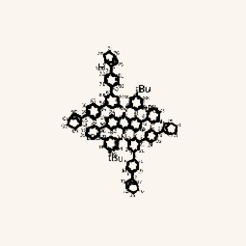 CC(C)(C)c1cc(N(c2cc(-c3ccc(C4CC5CCC4C5)cc3)cc(-c3ccc(C4CC5CCC4C5)cc3)c2)c2c3ccc(-c4ccccc4)cc3c(N(c3cc(-c4ccc(C5CC6CCC5C6)cc4)cc(-c4ccc(C5CC6CC[C@@H]5C6)cc4)c3)c3cc(C(C)(C)C)cc(C(C)(C)C)c3)c3ccc(-c4ccccc4)cc23)cc(C(C)(C)C)c1